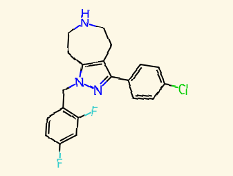 Fc1ccc(Cn2nc(-c3ccc(Cl)cc3)c3c2CCNCC3)c(F)c1